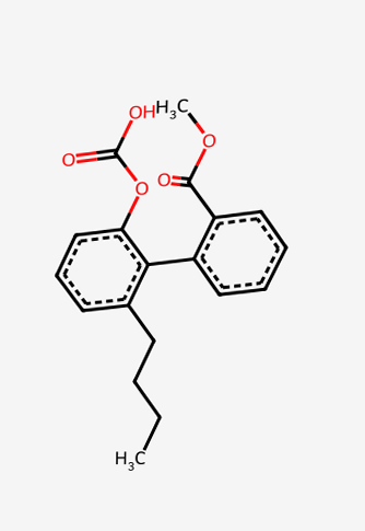 CCCCc1cccc(OC(=O)O)c1-c1ccccc1C(=O)OC